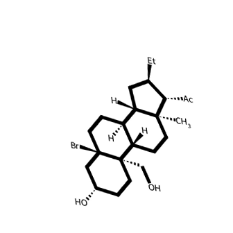 CC[C@@H]1C[C@H]2[C@@H]3CC[C@@]4(Br)C[C@@H](O)CC[C@]4(CO)[C@H]3CC[C@]2(C)[C@H]1C(C)=O